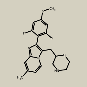 CSc1cc(F)c(-c2nc3cc(C)ccn3c2CC2CNCCO2)c(F)c1